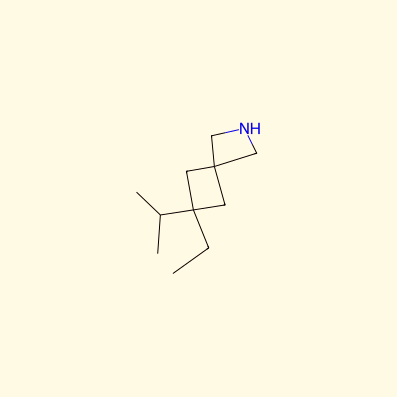 CCC1(C(C)C)CC2(CNC2)C1